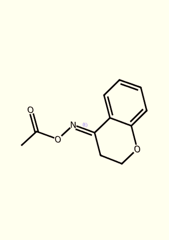 CC(=O)O/N=C1\CCOc2ccccc21